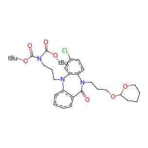 CC(C)(C)OC(=O)N(CCCN1c2ccccc2C(=O)N(CCCOC2CCCCO2)c2ccc(Cl)cc21)C(=O)OC(C)(C)C